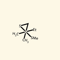 CCS1(C)(C)(SC)CS1